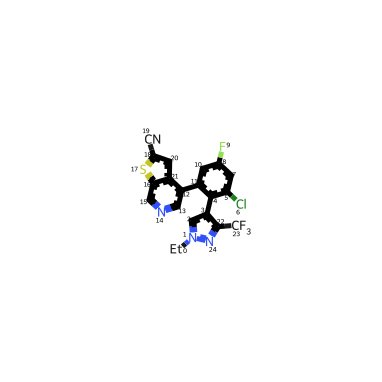 CCn1cc(-c2c(Cl)cc(F)cc2-c2cncc3sc(C#N)cc23)c(C(F)(F)F)n1